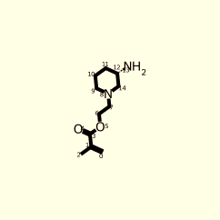 C=C(C)C(=O)OCCN1CCC[C@H](N)C1